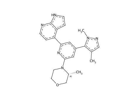 Cc1cnn(C)c1-c1cc(-c2ccnc3[nH]ccc23)nc(N2CCOC[C@H]2C)c1